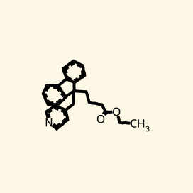 CCOC(=O)CCCC1(Cc2ccncc2)c2ccccc2-c2ccccc21